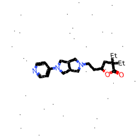 CCC1(CC)CC(CCN2CC3CN(c4ccncc4)CC3C2)OC1=O